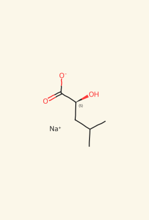 CC(C)C[C@H](O)C(=O)[O-].[Na+]